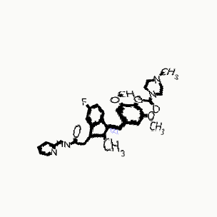 COc1cc(/C=C2\c3ccc(F)cc3C(CC(=O)NCc3ccccn3)C2C)cc(OC)c1OC(=O)N1CCN(C)CC1